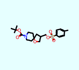 Cc1ccc(S(=O)(=O)OCC2COC3(CCN(C(=O)OC(C)(C)C)CC3)C2)cc1